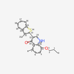 CCCOc1ccc(C)c2c(=O)c(-c3sc4ccccc4c3C)c[nH]c12